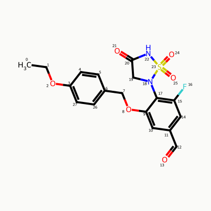 CCOc1ccc(COc2cc(C=O)cc(F)c2N2CC(=O)NS2(=O)=O)cc1